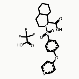 O=C(O)C(F)(F)F.O=C(O)C1C2CCCCC2CCN1S(=O)(=O)c1ccc(Oc2ccncc2)cc1